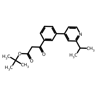 CC(C)c1cc(-c2cccc(C(=O)CC(=O)OC(C)(C)C)c2)ccn1